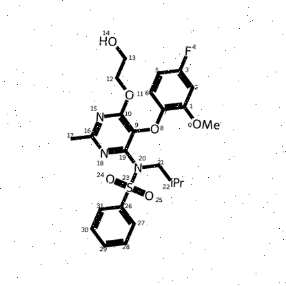 COc1cc(F)ccc1Oc1c(OCCO)nc(C)nc1N(CC(C)C)S(=O)(=O)c1ccccc1